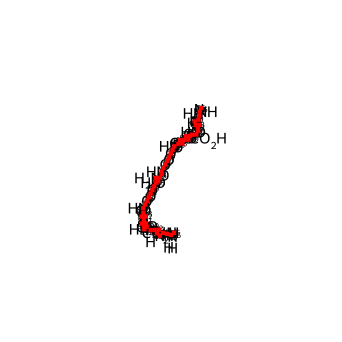 NC(CCC(=O)NCCCOCCOCCOCCCNS(=O)(=O)c1ccc(-c2ccc(S(=O)(=O)NC(CNC(=O)c3ccc4c(cnn4CCCNc4ncc[nH]4)c3)C(=O)O)cc2)cc1)C(=O)NCCCOCCOCCOCCCNS(=O)(=O)c1ccc(-c2ccc(S(=O)(=O)NC(CNC(=O)c3ccc4c(cnn4CCCNc4ncc[nH]4)c3)C(=O)O)cc2)cc1